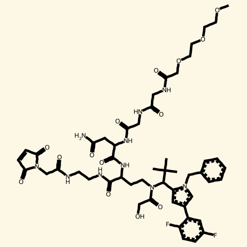 COCCOCCOCC(=O)NCC(=O)NCC(=O)NC(CC(N)=O)C(=O)NC(CCN(C(=O)CO)C(c1cc(-c2cc(F)ccc2F)cn1Cc1ccccc1)C(C)(C)C)C(=O)NCCNC(=O)CN1C(=O)C=CC1=O